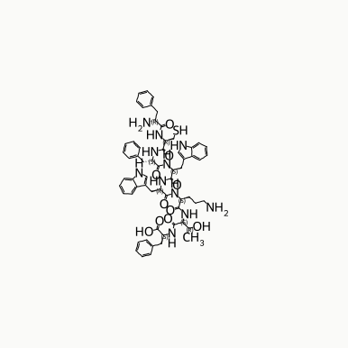 C[C@@H](O)[C@H](NC(=O)[C@H](CCCN)NC(=O)[C@@H](Cc1c[nH]c2ccccc12)NC(=O)[C@H](Cc1c[nH]c2ccccc12)NC(=O)[C@H](Cc1ccccc1)NC(=O)[C@H](CS)NC(=O)[C@H](N)Cc1ccccc1)C(=O)N[C@@H](Cc1ccccc1)C(=O)O